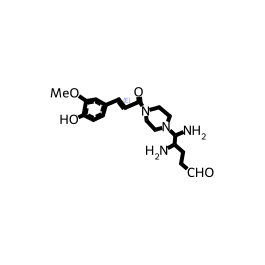 COc1cc(/C=C/C(=O)N2CCN(C(N)C(N)CCC=O)CC2)ccc1O